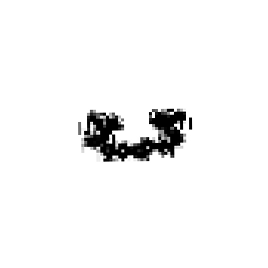 COC(=O)NC(C(=O)N1CCC[C@H]1c1ncc(-c2ccc3cc(-c4ccc(-c5cnc([C@@H]6CC(F)(F)CN6C(=O)[C@H](NC(=O)OC)c6ccccc6)[nH]5)cc4)ccc3c2)[nH]1)C1CCOCC1